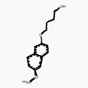 CCCCCCOc1ccc2cc(OCCCCOC)ccc2c1